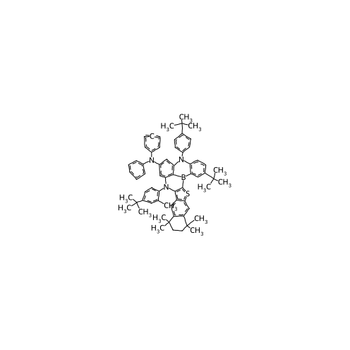 Cc1cc(C(C)(C)C)ccc1N1c2cc(N(c3ccccc3)c3ccccc3)cc3c2B(c2cc(C(C)(C)C)ccc2N3c2ccc(C(C)(C)C)cc2)c2sc3cc4c(cc3c21)C(C)(C)CCC4(C)C